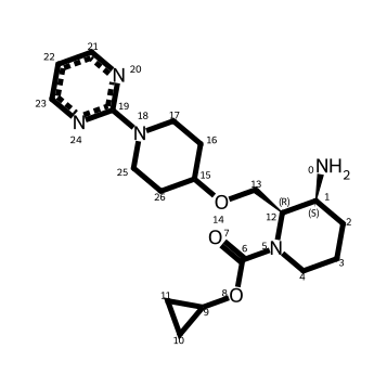 N[C@H]1CCCN(C(=O)OC2CC2)[C@H]1COC1CCN(c2ncccn2)CC1